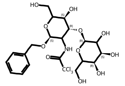 O=C(NC1[C@@H](OCc2ccccc2)OC(CO)[C@@H](O)[C@@H]1O[C@@H]1OC(CO)[C@H](O)[C@H](O)C1O)C(Cl)(Cl)Cl